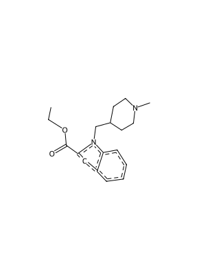 CCOC(=O)c1cc2ccccc2n1CC1CCN(C)CC1